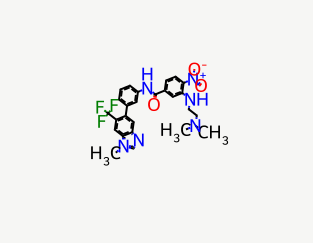 CN(C)CCNc1cc(C(=O)Nc2cccc(-c3cc4ncn(C)c4cc3C(F)(F)F)c2)ccc1[N+](=O)[O-]